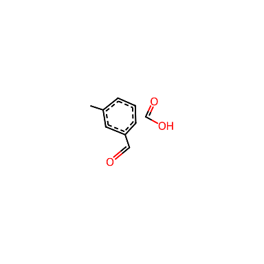 Cc1cccc(C=O)c1.O=CO